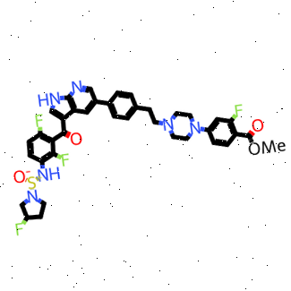 COC(=O)c1ccc(N2CCN(CCc3ccc(-c4cnc5[nH]cc(C(=O)c6c(F)ccc(N[S+]([O-])N7CCC(F)C7)c6F)c5c4)cc3)CC2)cc1F